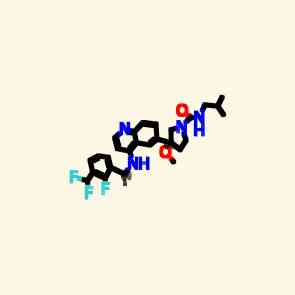 CO[C@@]1(c2ccc3nccc(N[C@H](C)c4cccc(C(F)F)c4F)c3c2)CCN(C(=O)NCC(C)C)C1